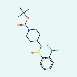 CC(C)(C)OC(=O)N1CCC(C[S+]([O-])c2ccccc2C(F)F)CC1